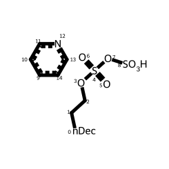 CCCCCCCCCCCCOS(=O)(=O)OS(=O)(=O)O.c1ccncc1